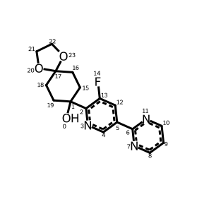 OC1(c2ncc(-c3ncccn3)cc2F)CCC2(CC1)OCCO2